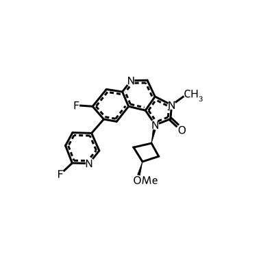 CO[C@H]1C[C@@H](n2c(=O)n(C)c3cnc4cc(F)c(-c5ccc(F)nc5)cc4c32)C1